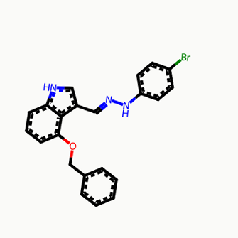 Brc1ccc(NN=Cc2c[nH]c3cccc(OCc4ccccc4)c23)cc1